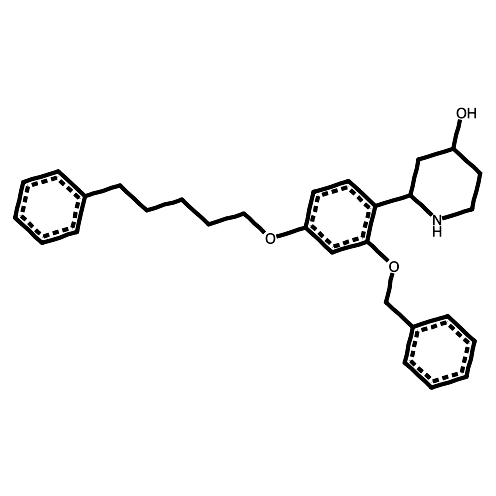 OC1CCNC(c2ccc(OCCCCCc3ccccc3)cc2OCc2ccccc2)C1